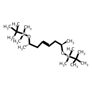 C[C@H](C/C=C/C[C@H](C)O[Si](C)(C)C(C)(C)C)O[Si](C)(C)C(C)(C)C